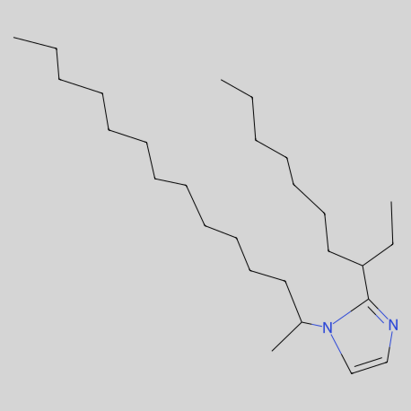 CCCCCCCCCCCCC(C)n1ccnc1C(CC)CCCCCCC